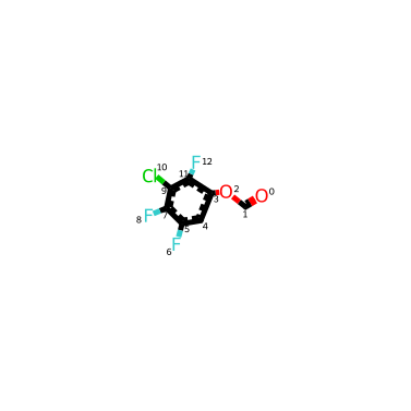 O=COc1cc(F)c(F)c(Cl)c1F